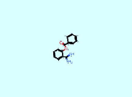 N=C(N)c1ccccc1OC(=O)c1ccccc1